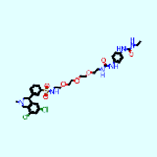 CCNC(=O)Nc1ccc(NC(=O)NCCOCCOCCOCCNS(=O)(=O)c2cccc(C3CN(C)Cc4c(Cl)cc(Cl)cc43)c2)cc1